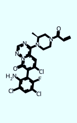 C=CC(=O)N1CCN(c2ncnn3c(=O)c(-c4c(N)c(Cl)cc(Cl)c4F)c(Cl)cc23)[C@@H](C)C1